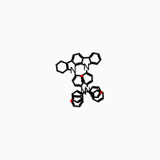 c1ccc(N(c2ccccc2)c2ccc(-n3c4c(c5ccc6c7ccccc7n(-c7ccc(N(c8ccccc8)c8ccccc8)cc7)c6c53)CCCC4)cc2)cc1